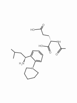 CC(=O)N[C@@H](CCC(=O)O)C(=O)O.CC(C)C[C@H](N)c1ccccc1N1CCCCC1